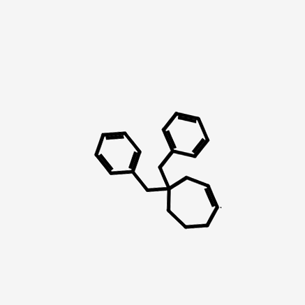 [C]1=CCC(Cc2ccccc2)(Cc2ccccc2)CCC1